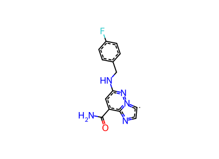 NC(=O)c1cc(NCc2ccc(F)cc2)nn2[c]cnc12